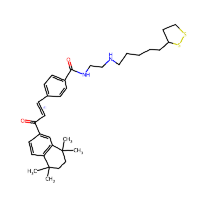 CC1(C)CCC(C)(C)c2cc(C(=O)/C=C/c3ccc(C(=O)NCCNCCCCCC4CCSS4)cc3)ccc21